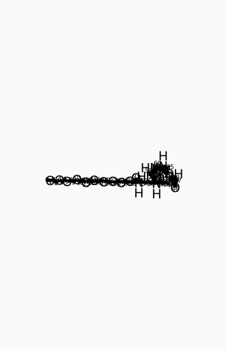 COCCOCCOCCOCCOCCOCCOCCOCCOCCOCC(=O)NCCCCC(NC(=O)CCCN1C(=O)C=CC1=O)C(=O)N[C@@H](C)C(=O)N[C@@H](C)C(=O)N[C@@H](C)C(=O)O